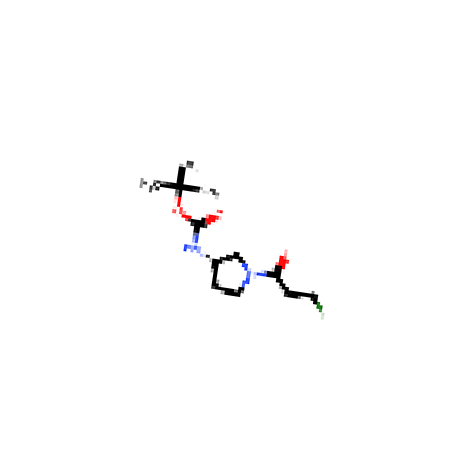 CC(C)(C)OC(=O)N[C@H]1CCN(C(=O)CCCl)C1